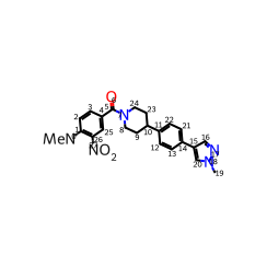 CNc1ccc(C(=O)N2CCC(c3ccc(-c4cnn(C)c4)cc3)CC2)cc1[N+](=O)[O-]